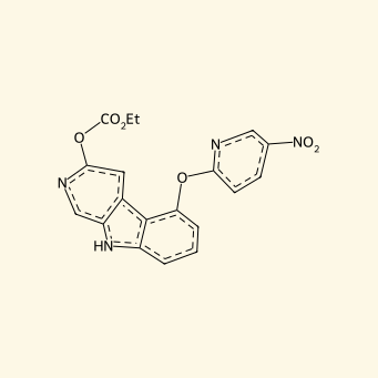 CCOC(=O)Oc1cc2c(cn1)[nH]c1cccc(Oc3ccc([N+](=O)[O-])cn3)c12